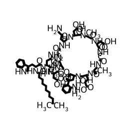 CC(C)CCCCCCCCC(=O)NC(Cc1c[nH]c2ccccc12)C(=O)NC(CC(N)=O)C(=O)NC(CC(=O)O)C(=O)NC1C(=O)NCC(=O)NC(CCCN)C(=O)NC(CC(=O)O)C(=O)NC(C)C(=O)NC(CC(=O)O)C(=O)NCC(=O)NC(C)C(=O)NC(CCC(=O)O)C(=O)NC(CC(=O)c2ccccc2N)C(=O)OC1C